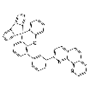 C1=CC(c2cccc3c2Oc2ccccc2C32c3ccccc3-c3ccccc32)=CC(c2ccc3ccc4cccnc4c3n2)C1